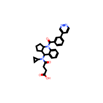 O=C(O)CCC(=O)N(C1CC1)C1c2ccccc2N(C(=O)c2cccc(-c3ccnnc3)c2)C2CCCC21